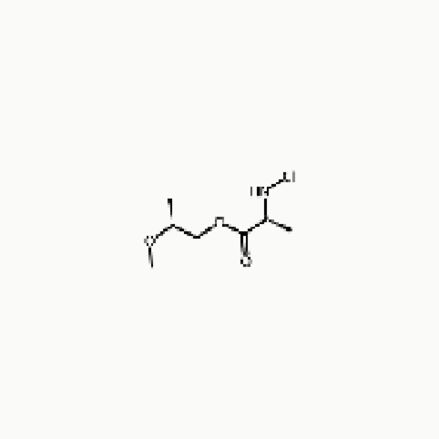 CO[C@@H](C)COC(=O)[C@H](C)NCl